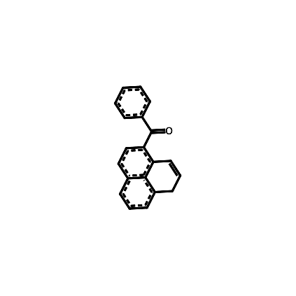 O=C(c1ccccc1)c1ccc2cccc3c2c1C=CC3